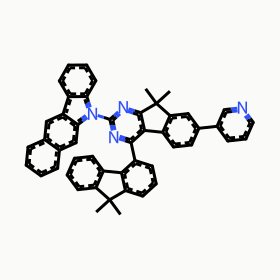 CC1(C)c2ccccc2-c2c(-c3nc(-n4c5ccccc5c5cc6ccccc6cc54)nc4c3-c3ccc(-c5cccnc5)cc3C4(C)C)cccc21